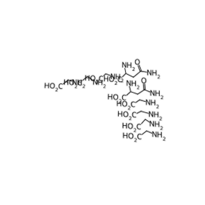 NC(=O)CC(N)C(=O)O.NC(=O)CC(N)C(=O)O.NCC(=O)O.NCC(=O)O.NCC(=O)O.NCC(=O)O.NCC(=O)O.NCC(=O)O.NCC(=O)O